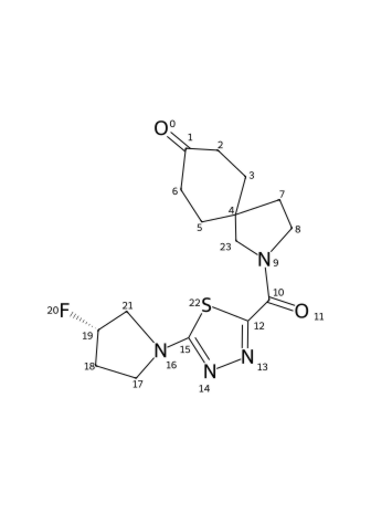 O=C1CCC2(CC1)CCN(C(=O)c1nnc(N3CC[C@H](F)C3)s1)C2